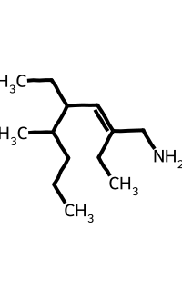 CCCC(C)C(/C=C(\CC)CN)CC